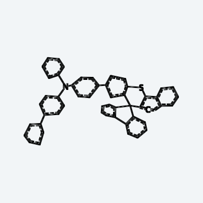 c1ccc(-c2ccc(N(c3ccccc3)c3ccc(-c4ccc5c(c4)C4(c6ccccc6-c6ccccc64)c4ccc6ccccc6c4S5)cc3)cc2)cc1